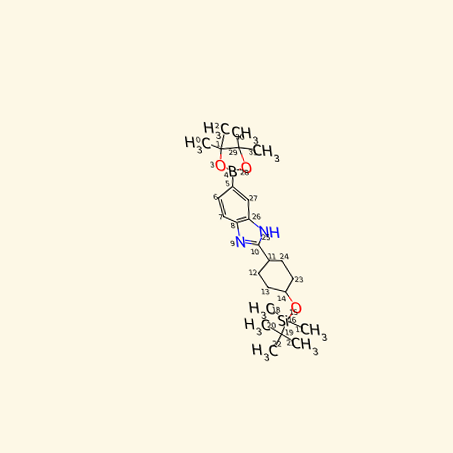 CC1(C)OB(c2ccc3nc(C4CCC(O[Si](C)(C)C(C)(C)C)CC4)[nH]c3c2)OC1(C)C